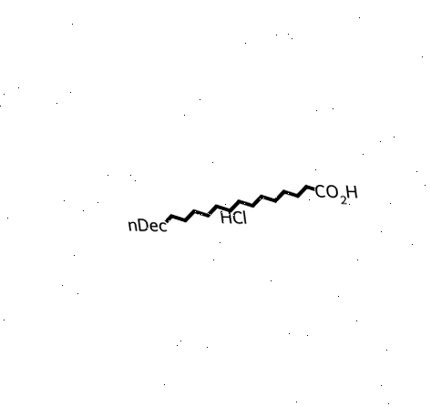 CCCCCCCCCCCCCCCCCCCCCCCC(=O)O.Cl